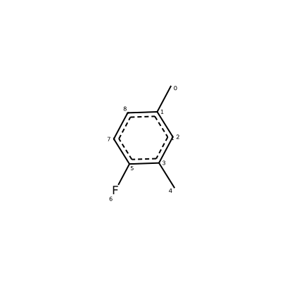 Cc1[c]c(C)c(F)cc1